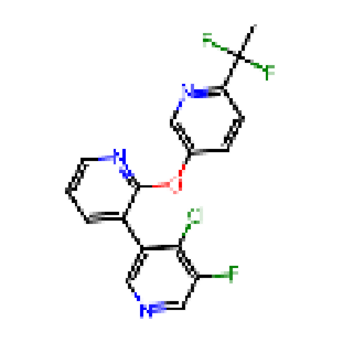 CC(F)(F)c1ccc(Oc2ncccc2-c2cncc(F)c2Cl)cn1